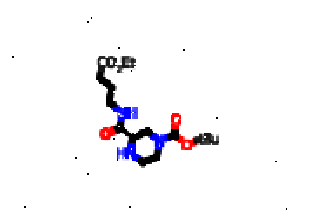 CCOC(=O)CCCNC(=O)[C@H]1CN(C(=O)OC(C)(C)C)CCN1